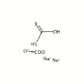 O=C([O-])[O-].OC(=S)S.[Na+].[Na+]